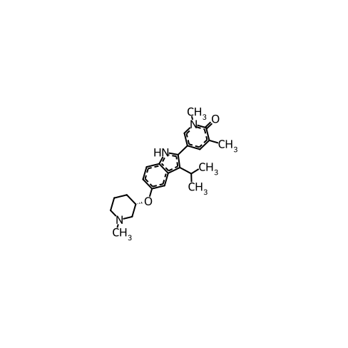 Cc1cc(-c2[nH]c3ccc(O[C@H]4CCCN(C)C4)cc3c2C(C)C)cn(C)c1=O